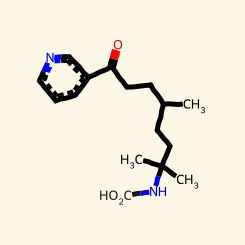 CC(CCC(=O)c1cccnc1)CCC(C)(C)NC(=O)O